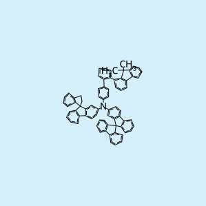 CC1(C)c2ccccc2-c2cccc(-c3ccccc3-c3ccc(N(c4ccc5c(c4)C4(CCc6ccccc64)c4ccccc4-5)c4ccc5c(c4)C4(c6ccccc6-c6ccccc64)c4ccccc4-5)cc3)c21